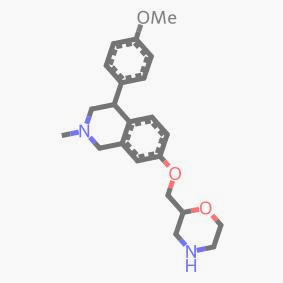 COc1ccc(C2CN(C)Cc3cc(OCC4CNCCO4)ccc32)cc1